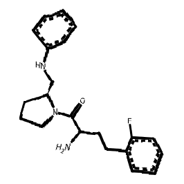 NC(CCc1ccccc1F)C(=O)N1CCC[C@H]1CNc1ccccc1